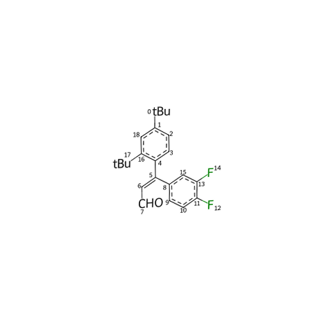 CC(C)(C)c1ccc(C(=CC=O)c2ccc(F)c(F)c2)c(C(C)(C)C)c1